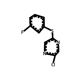 Fc1cccc(Sc2cnc(Cl)cn2)c1